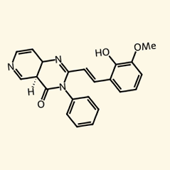 COc1cccc(/C=C/C2=NC3C=CN=C[C@@H]3C(=O)N2c2ccccc2)c1O